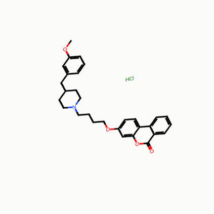 COc1cccc(CC2CCN(CCCCOc3ccc4c(c3)oc(=O)c3ccccc34)CC2)c1.Cl